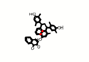 Cc1cc(C(CC(c2cc(C)c(O)cc2C)c2cc(C)c(O)cc2C)c2ccccc2)c(C)cc1O.O=C1C=Cc2ccccc2C1=O